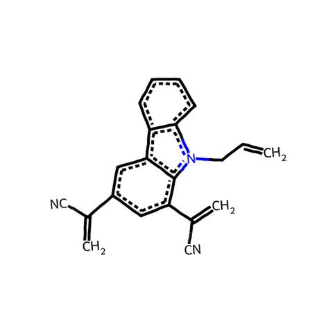 C=CCn1c2ccccc2c2cc(C(=C)C#N)cc(C(=C)C#N)c21